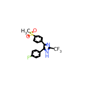 CS(=O)(=O)c1ccc(-c2nc(C(F)(F)F)[nH]c2-c2ccc(F)cc2)cc1